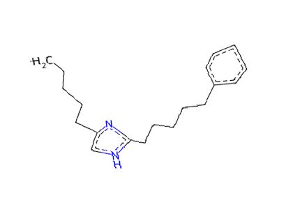 [CH2]CCCCc1c[nH]c(CCCCCc2ccccc2)n1